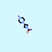 O=C(I)N1CC(N2CCN(I)CC2)C1